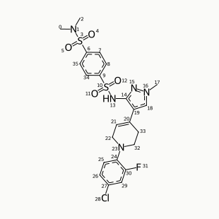 CN(C)S(=O)(=O)c1ccc(S(=O)(=O)Nc2nn(C)cc2C2=CCN(c3ccc(Cl)cc3F)CC2)cc1